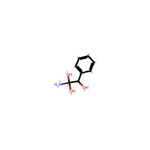 NC(O)(O)C(O)c1ccccc1